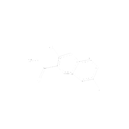 COC(=O)c1cc2cc(Cl)cnc2cc1Cl